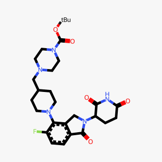 CC(C)(C)OC(=O)N1CCN(CC2CCN(c3c(F)ccc4c3CN(C3CCC(=O)NC3=O)C4=O)CC2)CC1